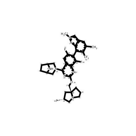 Cc1cc2cn(C)nc2c(-c2c(F)cc3c(N4CC5CCC(C4)N5)nc(OC[C@@]45CCCN4C[C@H](F)C5)nc3c2F)c1C(F)(F)F